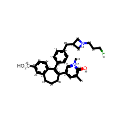 Cc1cc(C2=C(c3ccc(CC4CN(CCCF)C4)cc3)c3ccc(C(=O)O)cc3CCC2)cn(C)c1=O